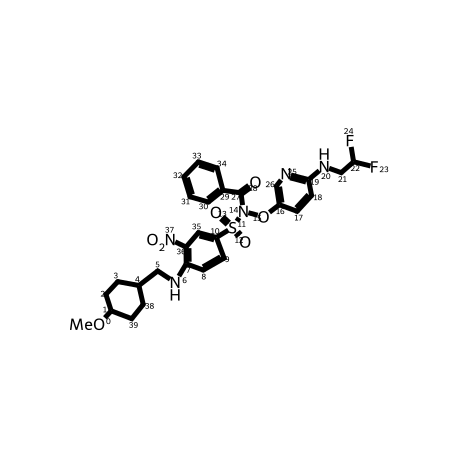 COC1CCC(CNc2ccc(S(=O)(=O)N(Oc3ccc(NCC(F)F)nc3)C(=O)c3ccccc3)cc2[N+](=O)[O-])CC1